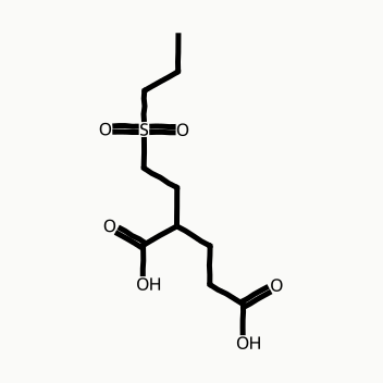 CCCS(=O)(=O)CCC(CCC(=O)O)C(=O)O